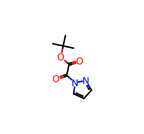 CC(C)(C)OC(=O)C(=O)n1cccn1